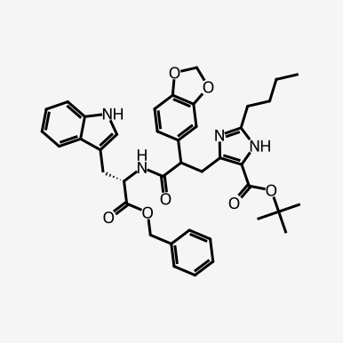 CCCCc1nc(CC(C(=O)N[C@@H](Cc2c[nH]c3ccccc23)C(=O)OCc2ccccc2)c2ccc3c(c2)OCO3)c(C(=O)OC(C)(C)C)[nH]1